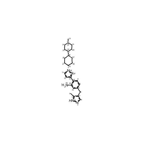 Cc1[nH]ncc1Cc1ccc(-c2ccn([C@H]3CC[C@H](N4CCN(C)CC4)CC3)n2)c(N)c1